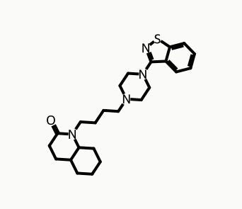 O=C1CCC2CCCCC2N1CCCCN1CCN(c2nsc3ccccc23)CC1